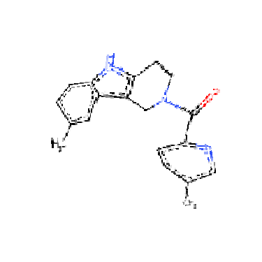 Cc1ccc2[nH]c3c(c2c1)CN(C(=O)c1ccc(C(F)(F)F)cn1)CC3